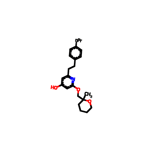 CCCc1ccc(CCc2cc(O)cc(OCC3(C)CCCCO3)n2)cc1